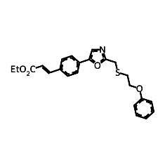 CCOC(=O)C=Cc1ccc(-c2cnc(CSCCOc3ccccc3)o2)cc1